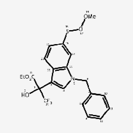 CCOC(=O)C(O)(c1cn(Cc2ccccc2)c2cc(SOOC)ccc12)C(F)(F)F